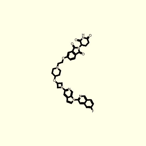 O=C1CCC(N2C(=O)c3ccc(OCCN4CCC(OC5CN(c6cc7ccn(-c8cc9cc(F)ccc9cn8)c7cn6)C5)CC4)cc3C2=O)C(=O)N1